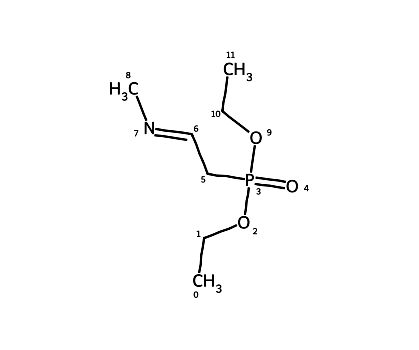 CCOP(=O)(CC=NC)OCC